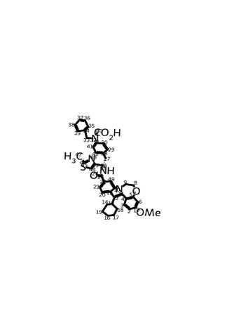 COc1ccc2c(c1)OCCn1c-2c(C2CCCCC2)c2ccc(C(=O)N[C@@H](Cc3ccc(N(Cc4ccccc4)C(=O)O)cc3)c3csc(C)n3)cc21